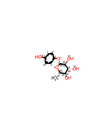 C[C@@H]1O[C@H](Oc2ccc(O)cc2)[C@@H](O)[C@H](O)[C@@H]1O